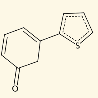 O=C1C=CC=C(c2cccs2)C1